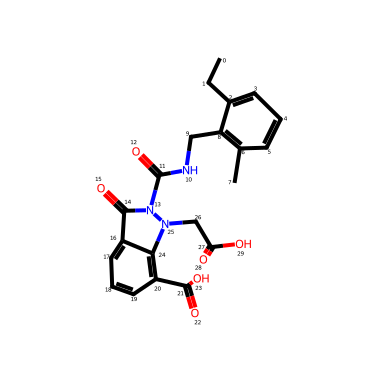 CCc1cccc(C)c1CNC(=O)n1c(=O)c2cccc(C(=O)O)c2n1CC(=O)O